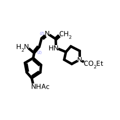 C=C(/N=C\C=C(/N)c1ccc(NC(C)=O)cc1)NC1CCN(C(=O)OCC)CC1